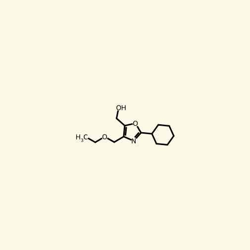 CCOCc1nc(C2CCCCC2)oc1CO